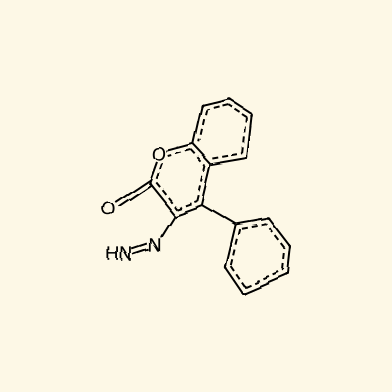 N=Nc1c(-c2ccccc2)c2ccccc2oc1=O